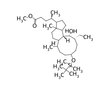 CC[C@@H]1CCC(O[Si](C)(C)C(C)(C)C)CCC(C)[C@H]2CCC3(C)C([C@H](C)CCC(=O)OC)CC[C@H]3[C@@H]2[C@@H]1O